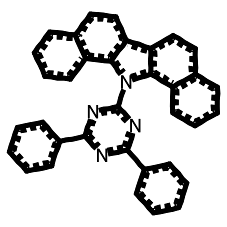 c1ccc(-c2nc(-c3ccccc3)nc(-n3c4c5ccccc5ccc4c4ccc5ccccc5c43)n2)cc1